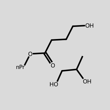 CC(O)CO.CCCOC(=O)CCCO